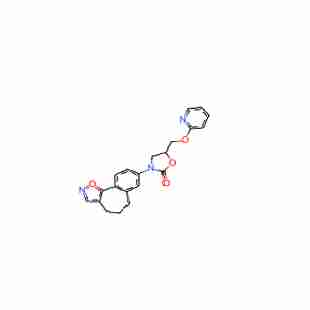 O=C1OC(COc2ccccn2)CN1c1ccc2c(c1)CCCc1cnoc1-2